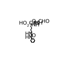 O=CCNC(=O)NC(CCCCNC(=O)Nc1ccccc1)C(=O)O